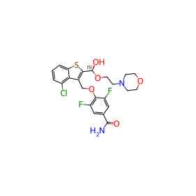 NC(=O)c1cc(F)c(OCc2c([C@@H](O)OCCN3CCOCC3)sc3cccc(Cl)c23)c(F)c1